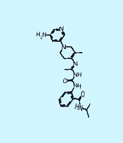 CC1=C(/N=C(\C)NC(=O)Nc2ccccc2C(=O)NC(C)C)CCN(c2cncc(N)c2)C1